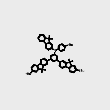 CC(C)(C)c1ccc(N(c2cc(-c3ccc4c(c3)C(C)(C)c3cc(C(C)(C)C)ccc3-4)cc(-c3ccc4c(c3)C(C)(C)c3cc(C(C)(C)C)ccc3-4)c2)c2ccc3c(c2)C(C)(C)c2ccccc2-3)cc1